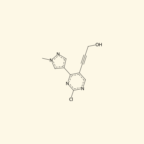 Cn1cc(-c2nc(Cl)ncc2C#CCO)cn1